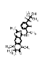 Cc1nc(NC(C)c2cccc(C(F)(F)C(C)(C)O)c2F)c2cc3c(cc2n1)N(C)C(C)(C)C(=O)N3C